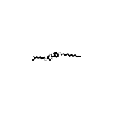 CCCCCCCCCCCOc1ccc(-c2ncc(OCCCCCC(C)CC)cn2)cc1